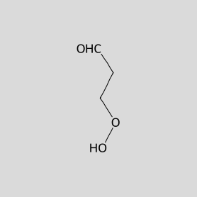 O=CCCOO